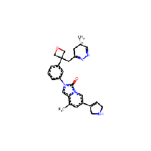 C[C@@H]1C=NN=C(CC2(c3cccc(-n4cc5c(C(F)(F)F)cc(C6=CCNC6)cn5c4=O)c3)COC2)C1